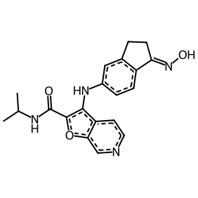 CC(C)NC(=O)c1oc2cnccc2c1Nc1ccc2c(c1)CCC2=NO